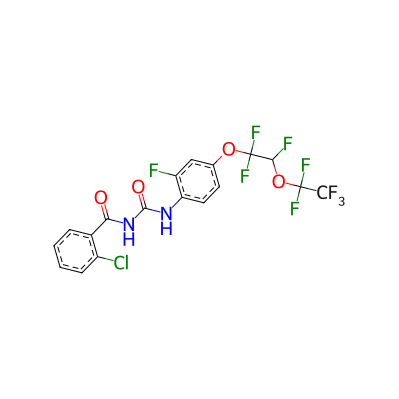 O=C(NC(=O)c1ccccc1Cl)Nc1ccc(OC(F)(F)C(F)OC(F)(F)C(F)(F)F)cc1F